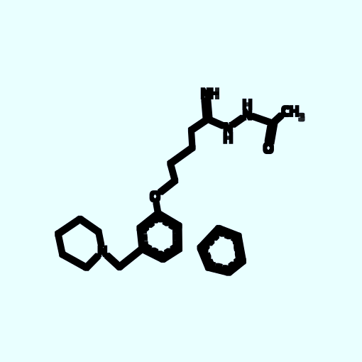 CC(=O)NNC(=N)CCCCOc1cccc(CN2CCCCC2)c1.c1ccccc1